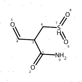 NC(=O)C([C]=O)C[SH](=O)=O